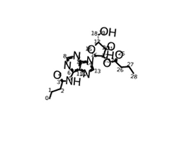 CCCC(=O)Nc1ncnc2c1ncn2[C@@H]1O[C@H](CO)C(O)C1OC(=O)CCC